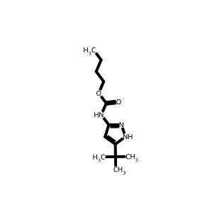 CCCCOC(=O)Nc1cc(C(C)(C)C)[nH]n1